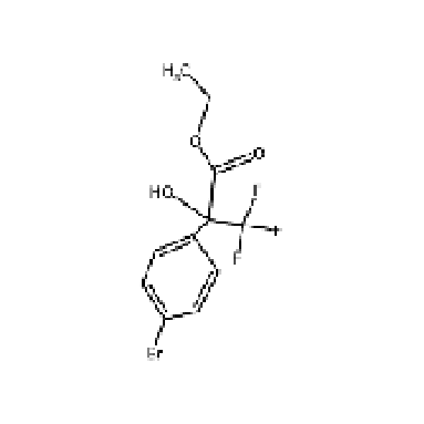 CCOC(=O)C(O)(c1ccc(Br)cc1)C(F)(F)F